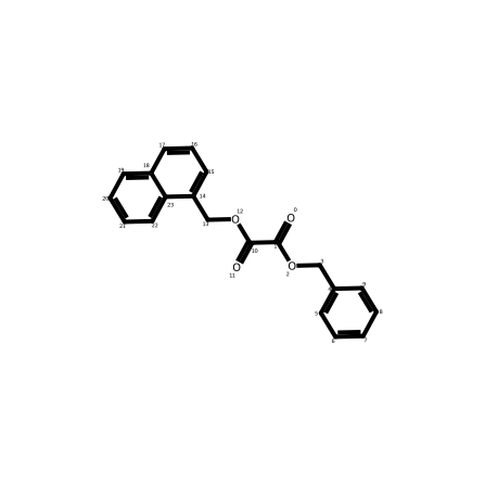 O=C(OCc1ccccc1)C(=O)OCc1cccc2ccccc12